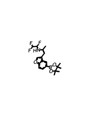 CC(Cc1coc2ccc(B3OC(C)(C)C(C)(C)O3)cc12)NC(F)C(F)F